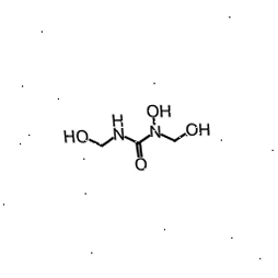 O=C(NCO)N(O)CO